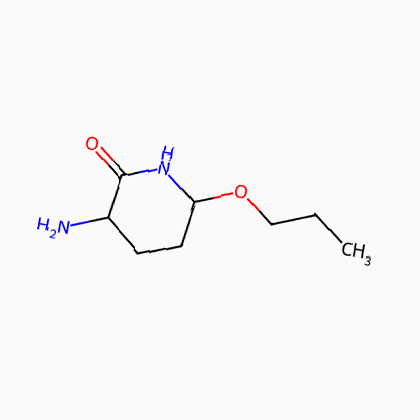 CCCOC1CCC(N)C(=O)N1